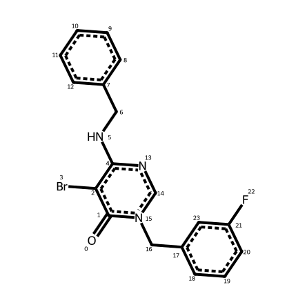 O=c1c(Br)c(NCc2ccccc2)ncn1Cc1cccc(F)c1